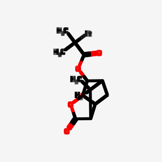 CCC(C)(C)C(=O)OC1C2OC(=O)C3C2CC1C3(C)C